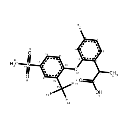 CC(C(=O)O)c1ccc(F)cc1Oc1ccc(S(C)(=O)=O)cc1C(F)(F)F